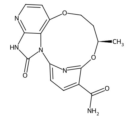 C[C@@H]1CCOc2ccnc3[nH]c(=O)n(c23)-c2ccc(C(N)=O)c(n2)O1